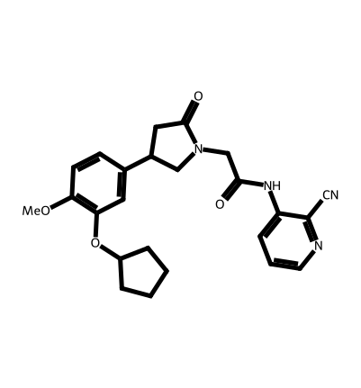 COc1ccc(C2CC(=O)N(CC(=O)Nc3cccnc3C#N)C2)cc1OC1CCCC1